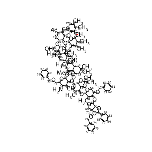 CCC1O[C@@H](OC2[C@H](O[C@H]3CCC4(C)C5CC=C6C7CC(C)(C)CC[C@]7(C(=O)O[C@@H]7OC(COCc8ccccc8)[C@H](N)C(C)C7O[C@@H]7OC(C)[C@H](O[C@@H]8OC[C@@H](OCc9ccccc9)C(O[C@@H]9OC[C@]%10(COCc%11ccccc%11)O[C@@H](c%11ccccc%11)OC9%10)C8C)C8OC(C)(C)OC87)C(OC)C[C@@]6(C)[C@@]5(C)CC[C@H]4[C@@]3(C)C=O)OC(C(C)=O)[C@@H](C)[C@@H]2O[C@@H]2OC[C@@H](C)[C@H](C)C2C)C(C)[C@@H](C)[C@H]1C